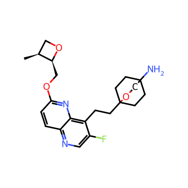 C[C@H]1CO[C@H]1COc1ccc2ncc(F)c(CCC34CCC(N)(CC3)CO4)c2n1